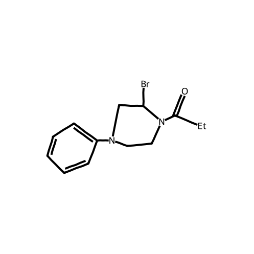 CCC(=O)N1CCN(c2ccccc2)CC1Br